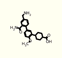 COc1ccc(-c2ccc(CN)cc2C(N)=O)cc1C1CCC(C(=O)O)CC1